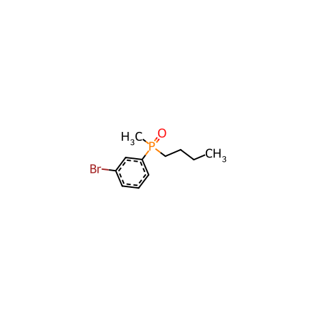 CCCCP(C)(=O)c1cccc(Br)c1